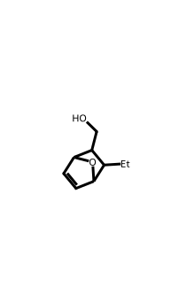 CCC1C2C=CC(O2)C1CO